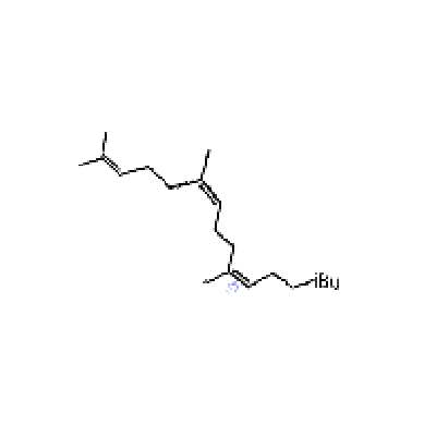 CCC(C)CC/C=C(/C)CCC=C(C)CCC=C(C)C